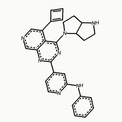 C1=CC(c2cncc3nc(-c4ccnc(Nc5ccccc5)c4)nc(N4CCC5NCCC54)c23)=C1